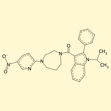 CC(C)n1c(-c2ccccc2)c(C(=O)N2CCCN(c3ccc([N+](=O)[O-])cn3)CC2)c2ccccc21